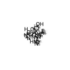 C[C@@H]1C[C@@H](O)CCN1c1cc(-c2ncnn2C)nc2c(-c3ccn[nH]3)nn(CC(F)(F)F)c12